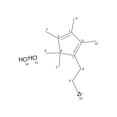 CC1=C(C)C(C)(C)C(C[CH2][Zr])=C1C.Cl.Cl